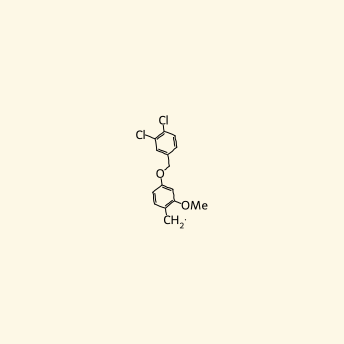 [CH2]c1ccc(OCc2ccc(Cl)c(Cl)c2)cc1OC